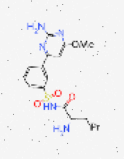 COc1cc(-c2cccc(S(=O)(=O)NC(=O)[C@@H](N)CC(C)C)c2)nc(N)n1